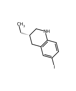 CC[C@@H]1CNc2ccc(I)cc2C1